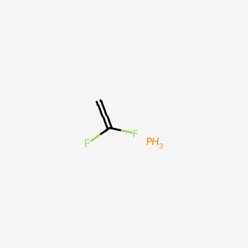 C=C(F)F.P